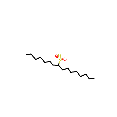 CCCCCCCCC(CCCCCCC)[SH](=O)=O